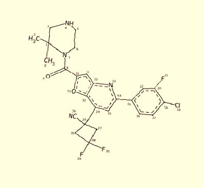 CC1(C)CNCCN1C(=O)c1cc2nc(-c3ccc(Cl)c(F)c3)cc(C3(C#N)CC(F)(F)C3)c2o1